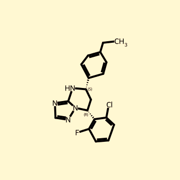 CCc1ccc([C@@H]2C[C@H](c3c(F)cccc3Cl)n3ncnc3N2)cc1